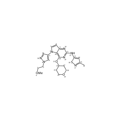 COCCn1cc(-n2ccc3nc(Nc4cc(C)ns4)nc(OC4CCOCC4)c32)cn1